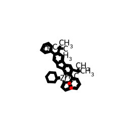 CC(C)(C)c1cc2c(cc1-c1ccccc1)Cc1c-2cc(C(C)(C)C)c(-c2ccccc2)[c]1[Zr]([C]1=CC=CC1)=[C]1CCCCC1